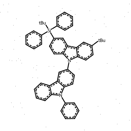 CC(C)(C)c1ccc2c(c1)c1cc([Si](c3ccccc3)(c3ccccc3)C(C)(C)C)ccc1n2-c1ccc2c(c1)c1ccccc1n2-c1ccccc1